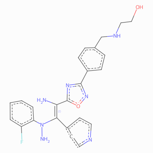 N/C(=C(/c1ccncc1)N(N)c1ccccc1F)c1nc(-c2ccc(CNCCO)cc2)no1